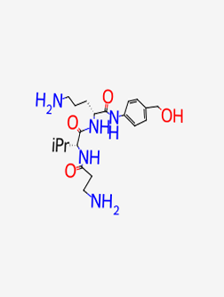 CC(C)[C@@H](NC(=O)CCN)C(=O)N[C@H](CCCN)C(=O)Nc1ccc(CO)cc1